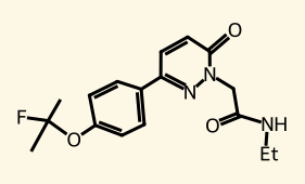 CCNC(=O)Cn1nc(-c2ccc(OC(C)(C)F)cc2)ccc1=O